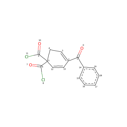 O=C(C1=CCC(C(=O)Cl)(C(=O)Cl)C=C1)c1ccccc1